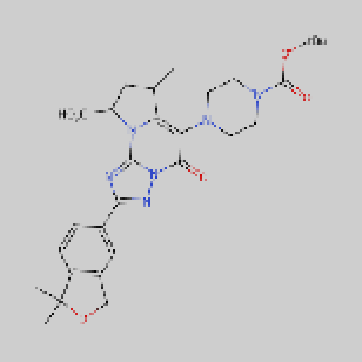 CC1CC(C(=O)O)n2c1c(N1CCN(C(=O)OC(C)(C)C)CC1)c(=O)n1nc(-c3ccc4c(c3)COC4(C)C)nc21